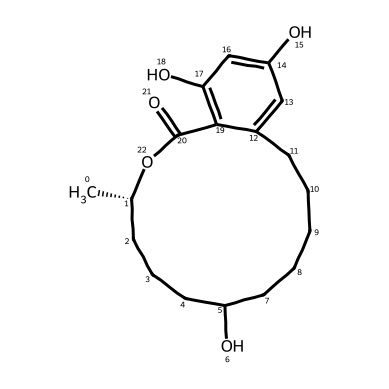 C[C@H]1CCCC(O)CCCCCc2cc(O)cc(O)c2C(=O)O1